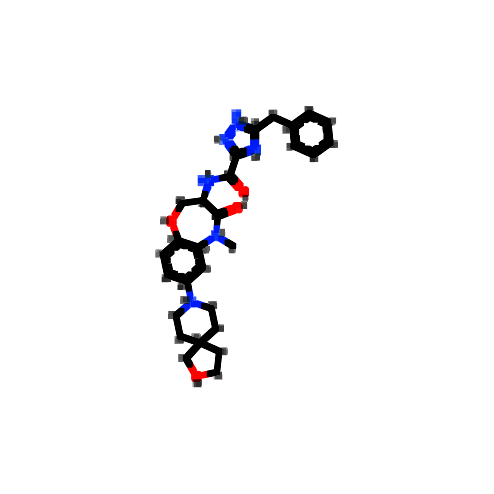 CN1C(=O)[C@H](NC(=O)c2n[nH]c(Cc3ccccc3)n2)COc2ccc(N3CCC4(CCOC4)CC3)cc21